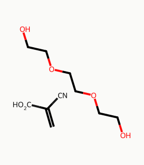 C=C(C#N)C(=O)O.OCCOCCOCCO